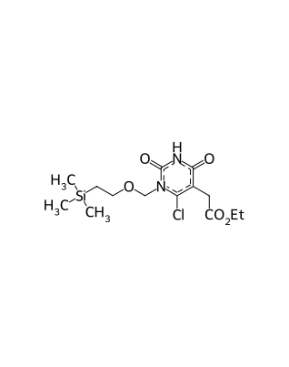 CCOC(=O)Cc1c(Cl)n(COCC[Si](C)(C)C)c(=O)[nH]c1=O